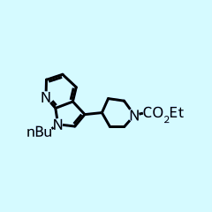 CCCCn1cc(C2CCN(C(=O)OCC)CC2)c2cccnc21